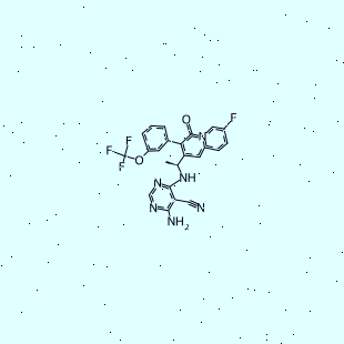 C[C@H](Nc1ncnc(N)c1C#N)c1cc2ccc(F)cn2c(=O)c1-c1cccc(OC(F)(F)F)c1